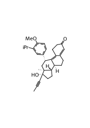 CC#C[C@]1(O)CC[C@H]2[C@@H]3CCC4=CC(=O)CCC4=C3[C@@H](c3ccc(OC)c(C(C)C)c3)C[C@@]21C